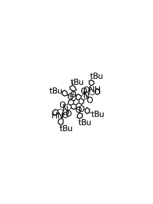 CC(C)(C)c1ccc(NC(=O)C(Cc2ccccc2)N2C(=O)c3cc(Oc4ccc(C(C)(C)C)cc4)c4c5c(Oc6ccc(C(C)(C)C)cc6)cc6c7c(cc(Oc8ccc(C(C)(C)C)cc8)c(c8c(Oc9ccc(C(C)(C)C)cc9)cc(c3c48)C2=O)c75)C(=O)N(C(Cc2ccccc2)C(=O)Nc2ccc(C(C)(C)C)cc2)C6=O)cc1